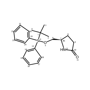 CC(C)(C)[Si](OC[C@H]1CCC(=O)N1)(c1ccccc1)c1ccccc1